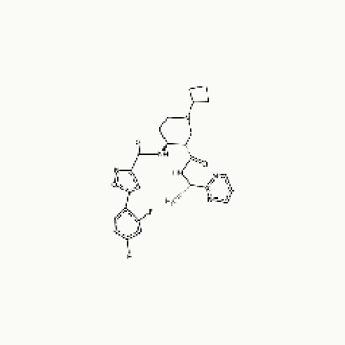 C[C@H](NC(=O)[C@H]1CN(C2CCC2)CC[C@@H]1NC(=O)c1cc(-c2ccc(F)cc2F)on1)c1ncccn1